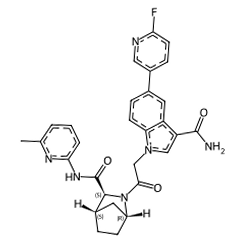 Cc1cccc(NC(=O)[C@@H]2[C@H]3CC[C@H](C3)N2C(=O)Cn2cc(C(N)=O)c3cc(-c4ccc(F)nc4)ccc32)n1